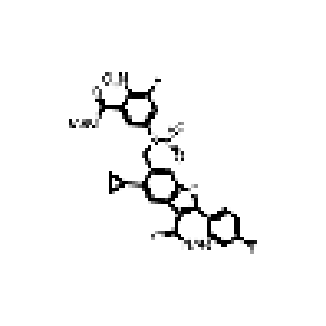 CNC(=O)c1c(-c2ccc(F)cc2)oc2cc(CN(c3cc(F)c([N+](=O)[O-])c(C(=O)OC)c3)[SH](=O)=O)c(C3CC3)cc12